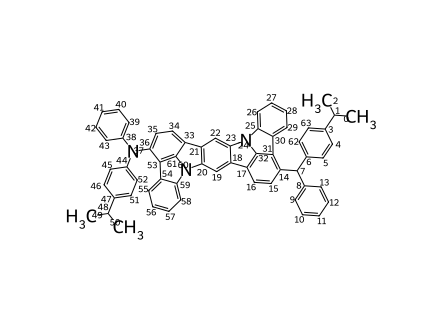 CC(C)c1ccc(C(c2ccccc2)c2ccc3c4cc5c(cc4n4c6ccccc6c2c34)c2ccc(N(c3ccccc3)c3ccc(C(C)C)cc3)c3c4ccccc4n5c23)cc1